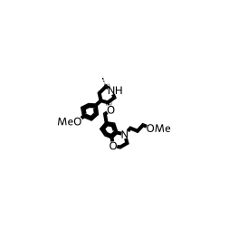 COCCCN1CCOc2ccc(CO[C@H]3CN[C@@H](C)CC3c3ccc(OC)cc3)cc21